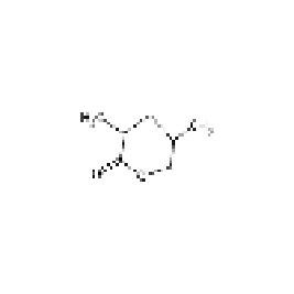 CC1COC(=O)C(C)C1